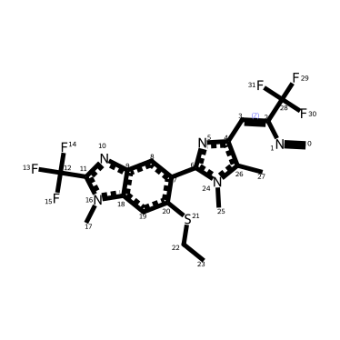 C=N/C(=C\c1nc(-c2cc3nc(C(F)(F)F)n(C)c3cc2SCC)n(C)c1C)C(F)(F)F